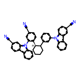 N#Cc1ccc([C@@H]2CCCCC2c2cccc(-n3c4ccccc4c4cc(C#N)ccc43)c2)c(-n2c3ccccc3c3ccc(C#N)cc32)c1